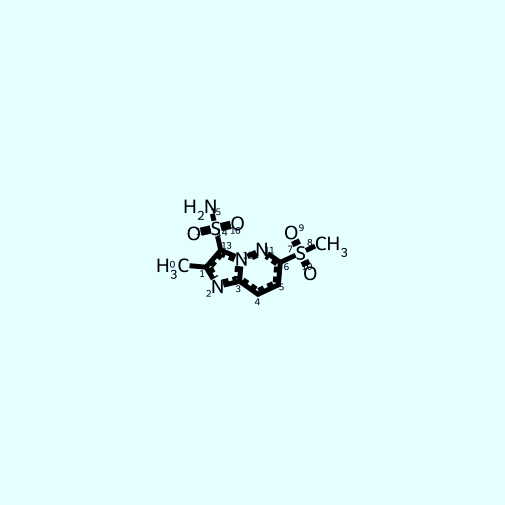 Cc1nc2ccc(S(C)(=O)=O)nn2c1S(N)(=O)=O